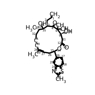 C=CC[C@H]1C(=O)C(C)(C)[C@@H](O)CC(=O)OC(c2ccc3sc(C)nc3c2)C/C=C(/C)CCC[C@H](C)C1O